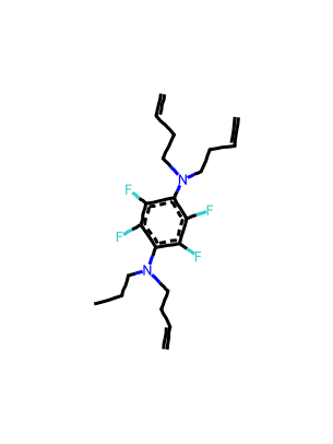 C=CCCN(CCC)c1c(F)c(F)c(N(CCC=C)CCC=C)c(F)c1F